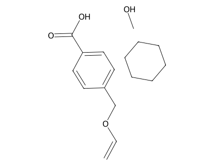 C1CCCCC1.C=COCc1ccc(C(=O)O)cc1.CO